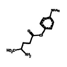 CC(=O)Nc1ccc(OC(=O)CCC(N)C(=O)O)cc1